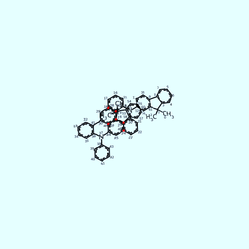 CC1(C)c2ccccc2-c2ccc(N(c3ccccc3)c3ccccc3-c3cccc(-c4ccccc4N(c4ccccc4)c4ccc5c(c4)C(C)(C)c4ccccc4-5)c3)cc21